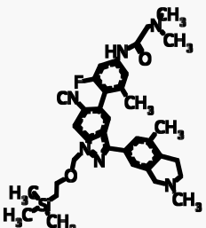 [C-]#[N+]c1cc2c(cc1-c1c(C)cc(NC(=O)CN(C)C)cc1F)c(-c1cc(C)c3c(c1)CN(C)CC3)nn2COCC[Si](C)(C)C